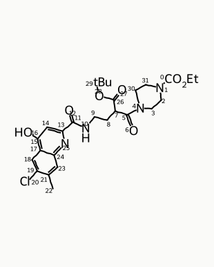 CCOC(=O)N1CCN(C(=O)C(CCNC(=O)c2cc(O)c3cc(Cl)c(C)cc3n2)C(=O)OC(C)(C)C)CC1